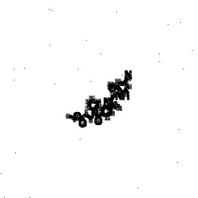 CCOC(=O)CCN(C(=O)c1ccc2c(c1)nc(CNc1ccc(C#N)cc1OC)n2C)c1ccccc1